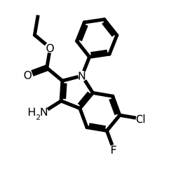 CCOC(=O)c1c(N)c2cc(F)c(Cl)cc2n1-c1ccccc1